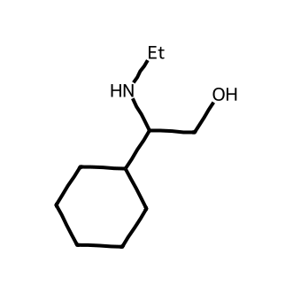 CCNC(CO)C1CCCCC1